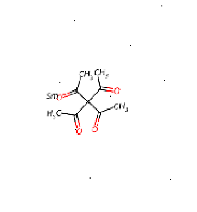 CC(=O)C(C(C)=O)(C(C)=O)C(C)=O.[Sm]